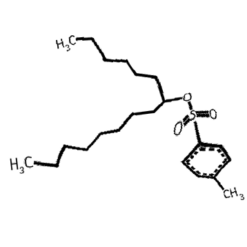 CCCCCCCCC(CCCCCC)OS(=O)(=O)c1ccc(C)cc1